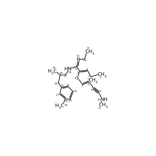 CC/C=C(S/C=C(\C)C#CNC)/C(=N\CC)NCC(C)Cc1cccc(C)c1